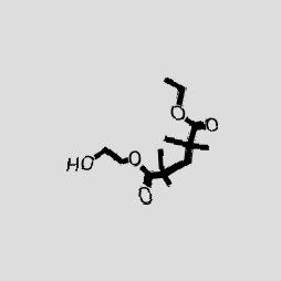 CCOC(=O)C(C)(C)CC(C)(C)C(=O)OCCO